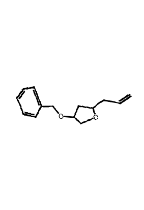 C=CCC1CC(OCc2ccccc2)CO1